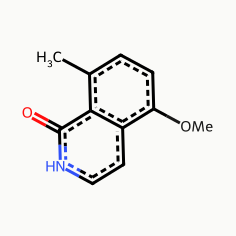 COc1ccc(C)c2c(=O)[nH]ccc12